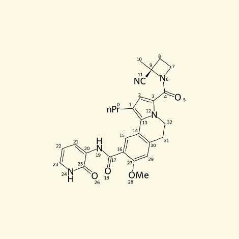 CCCc1cc(C(=O)N2CC[C@]2(C)C#N)n2c1-c1cc(C(=O)Nc3ccc[nH]c3=O)c(OC)cc1CC2